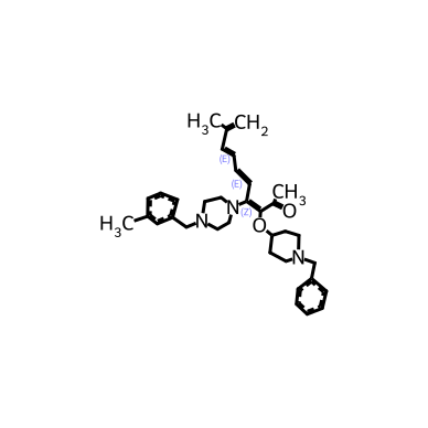 C=C(C)/C=C/C=C/C(=C(/OC1CCN(Cc2ccccc2)CC1)C(C)=O)N1CCN(Cc2cccc(C)c2)CC1